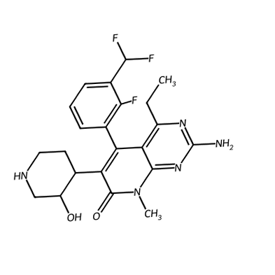 CCc1nc(N)nc2c1c(-c1cccc(C(F)F)c1F)c(C1CCNCC1O)c(=O)n2C